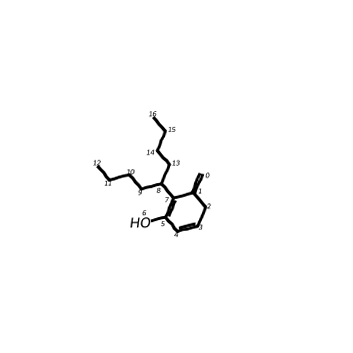 C=C1CC=CC(O)=C1C(CCCC)CCCC